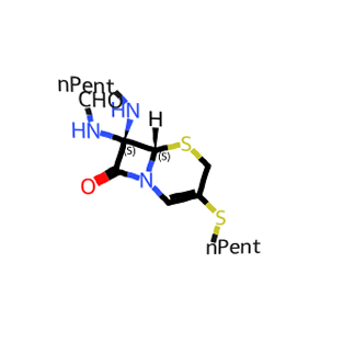 CCCCCN[C@]1(NC=O)C(=O)N2C=C(SCCCCC)CS[C@H]21